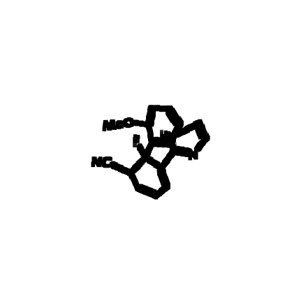 COc1ccccc1C1(F)C(c2ncc[nH]2)=CC=CC1C#N